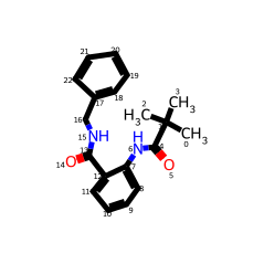 CC(C)(C)C(=O)Nc1ccccc1C(=O)NCc1ccccc1